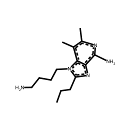 CCCc1nc2c(N)nc(C)c(C)c2n1CCCCN